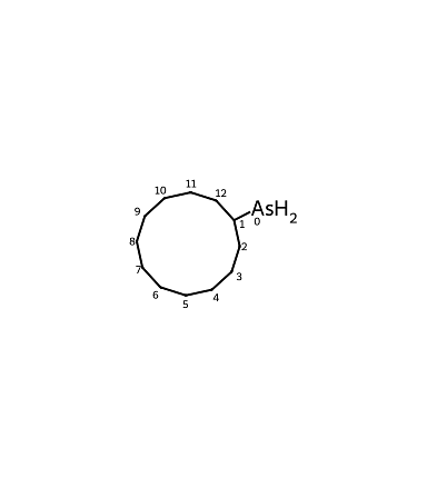 [AsH2]C1CCCCCCCCCCC1